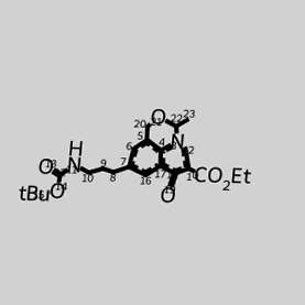 CCOC(=O)c1cn2c3c(cc(CCCNC(=O)OC(C)(C)C)cc3c1=O)COC2C